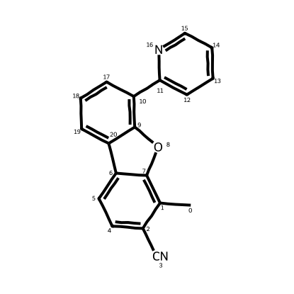 Cc1c(C#N)ccc2c1oc1c(-c3ccccn3)cccc12